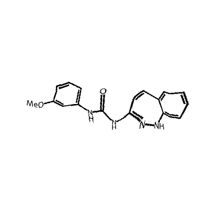 COc1cccc(NC(=O)NC2=NNc3ccccc3C=C2)c1